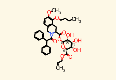 C=CCOC(=O)[C@H]1O[C@@H](OC(=O)C2Cc3c(ccc(OC)c3OCCCC)CN2C(=O)C(c2ccccc2)c2ccccc2)[C@H](O)[C@@H](O)[C@@H]1O